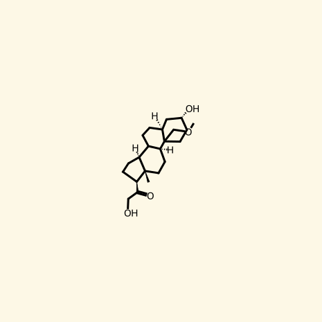 COCC12CC[C@@H](O)C[C@@H]1CCC1[C@@H]2CC[C@]2(C)[C@@H](C(=O)CO)CC[C@@H]12